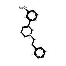 COc1cccc(C2=CCCN(CCc3ccccc3)C2)c1